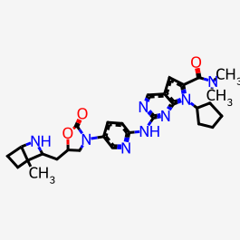 CN(C)C(=O)c1cc2cnc(Nc3ccc(N4CC(CC5NC6CCC65C)OC4=O)cn3)nc2n1C1CCCC1